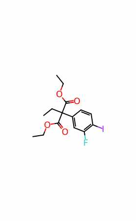 CCOC(=O)C(CC)(C(=O)OCC)c1ccc(I)c(F)c1